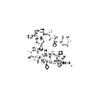 CC(CSC(=O)c1ccccc1)C(=O)N1CC(Oc2ccccc2C2NC(=O)c3cc(S(N)(=O)=O)c(Cl)cc3N2)C[C@H]1C(=O)O